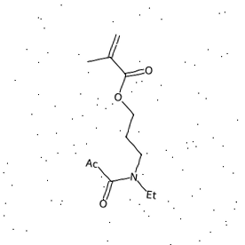 C=C(C)C(=O)OCCCN(CC)C(=O)C(C)=O